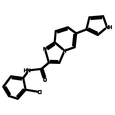 O=C(Nc1ccccc1Cl)c1cn2cc(-c3cc[nH]c3)ccc2n1